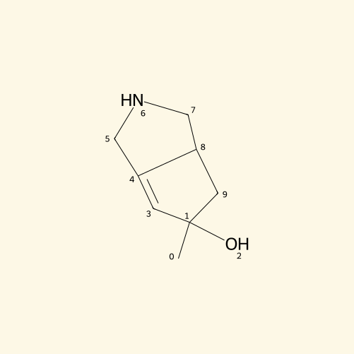 CC1(O)C=C2CNCC2C1